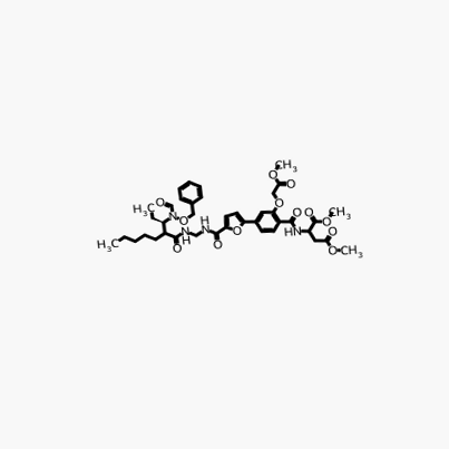 CCCCCC(C(=O)NCNC(=O)c1ccc(-c2ccc(C(=O)NC(CC(=O)OC)C(=O)OC)c(OCC(=O)OC)c2)o1)[C@@H](CC)N(C=O)OCc1ccccc1